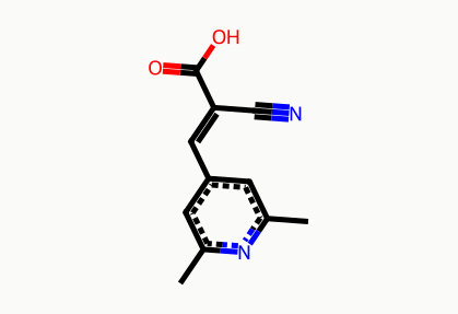 Cc1cc(/C=C(\C#N)C(=O)O)cc(C)n1